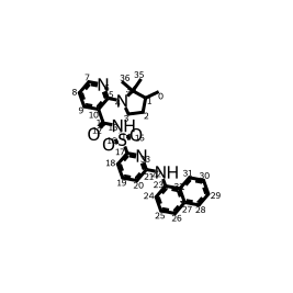 CC1CCN(c2ncccc2C(=O)NS(=O)(=O)c2cccc(Nc3cccc4ccccc34)n2)C1(C)C